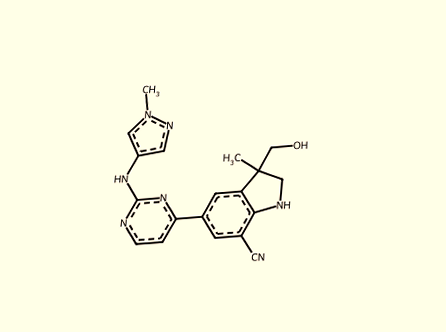 Cn1cc(Nc2nccc(-c3cc(C#N)c4c(c3)C(C)(CO)CN4)n2)cn1